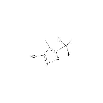 Cc1c(O)noc1C(F)(F)F